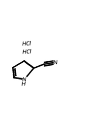 Cl.Cl.N#CC1CC=CN1